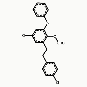 O=COc1c(CCc2ccc(Cl)cc2)cc(Cl)cc1Sc1ccccc1